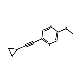 CSc1cnc(C#CC2CC2)cn1